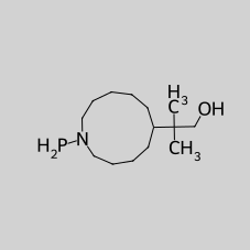 CC(C)(CO)C1CCCCCN(P)CCCC1